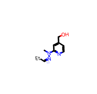 CC/C=N\N(C)c1cc(CO)ccn1